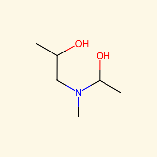 CC(O)CN(C)C(C)O